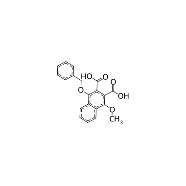 COc1c(C(=O)O)c(C(=O)O)c(OCc2ccccc2)c2ccccc12